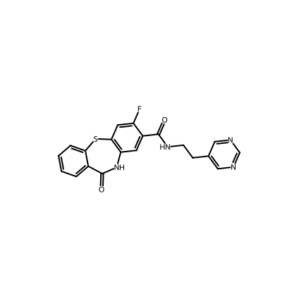 O=C(NCCc1cncnc1)c1cc2c(cc1F)Sc1ccccc1C(=O)N2